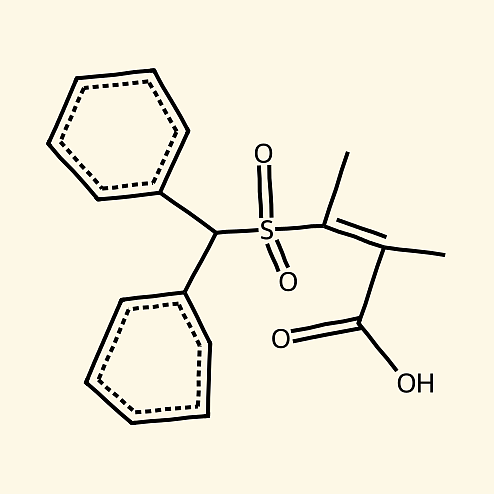 CC(C(=O)O)=C(C)S(=O)(=O)C(c1ccccc1)c1ccccc1